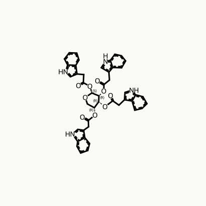 O=C(Cc1c[nH]c2ccccc12)O[C@@H]1OC[C@@H](OC(=O)Cc2c[nH]c3ccccc23)[C@@H](OC(=O)Cc2c[nH]c3ccccc23)[C@H]1OC(=O)Cc1c[nH]c2ccccc12